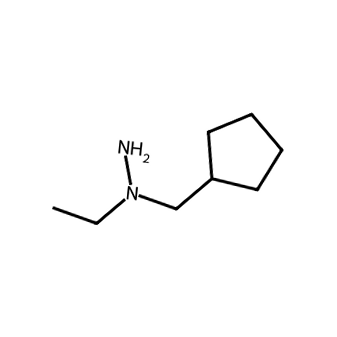 CCN(N)CC1CCCC1